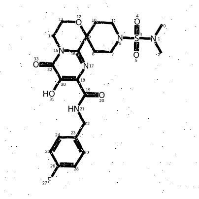 CN(C)S(=O)(=O)N1CCC2(CC1)OCCn1c2nc(C(=O)NCc2ccc(F)cc2)c(O)c1=O